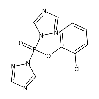 O=P(Oc1ccccc1Cl)(n1cncn1)n1cncn1